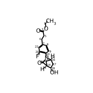 CCOC(=O)CCc1ccc(N2C(=O)[C@@H]3C[C@H]2C[C@H]3O)c(F)c1